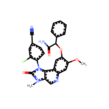 COc1cc2ncc3c(c2cc1OC(C(N)=O)c1ccccc1)n(-c1ccc(C#N)cc1F)c(=O)n3C